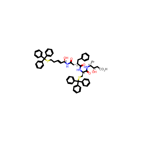 CC(C)[C@@H](NC(=O)[C@@H](CSC(c1ccccc1)(c1ccccc1)c1ccccc1)NC(=O)[C@H](CC(=O)N[C@H](O)C=CCCSC(c1ccccc1)(c1ccccc1)c1ccccc1)Cc1ccccc1)[C@@H](O)CC(=O)O